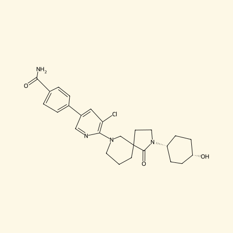 NC(=O)c1ccc(-c2cnc(N3CCCC4(CCN([C@H]5CC[C@@H](O)CC5)C4=O)C3)c(Cl)c2)cc1